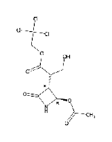 CC(=O)O[C@H]1NC(=O)[C@@H]1C(CO)C(=O)OCC(Cl)(Cl)Cl